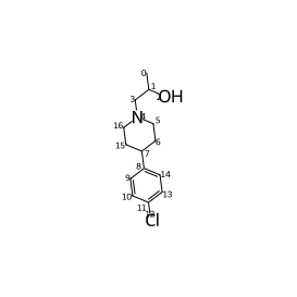 CC(O)CN1CCC(c2ccc(Cl)cc2)CC1